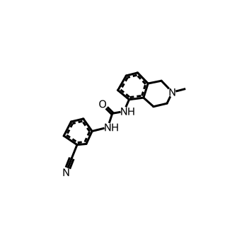 CN1CCc2c(cccc2NC(=O)Nc2cccc(C#N)c2)C1